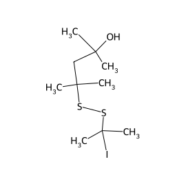 CC(C)(O)CC(C)(C)SSC(C)(C)I